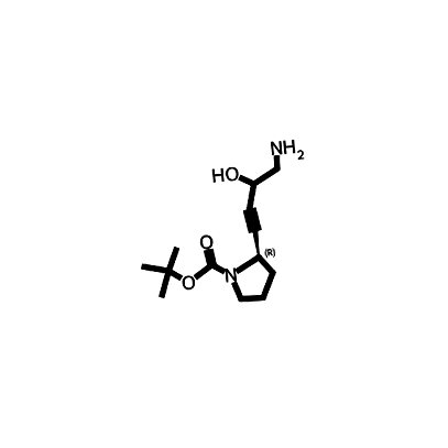 CC(C)(C)OC(=O)N1CCC[C@@H]1C#CC(O)CN